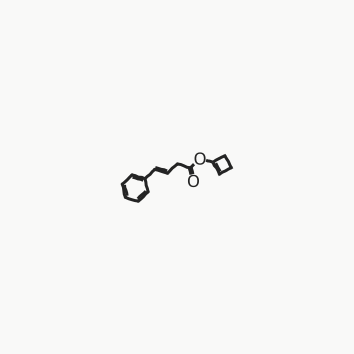 O=C(CC=Cc1ccccc1)OC1=CCC1